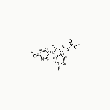 COC(=O)CCn1c(C)c(-c2ccc(OC)nc2)c2cc(F)ccc21